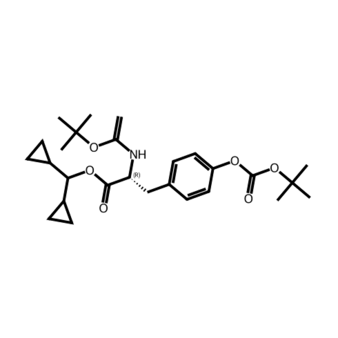 C=C(N[C@H](Cc1ccc(OC(=O)OC(C)(C)C)cc1)C(=O)OC(C1CC1)C1CC1)OC(C)(C)C